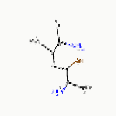 CCCC(N)C(S)CC(NC)C(N)CC